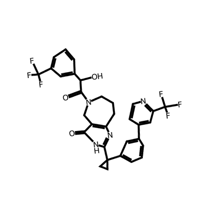 O=C(C(O)c1cccc(C(F)(F)F)c1)N1CCCc2nc(C3(c4cccc(-c5ccnc(C(F)(F)F)c5)c4)CC3)[nH]c(=O)c2C1